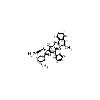 CC#CCn1c(N2CCC[C@@H](N)C2)nc2c1c(=O)n(Cc1nc(C)cc3ccccc13)c(=O)n2-c1ccccc1